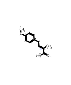 COc1ccc(C/C=C(\C)C(=O)O)cc1